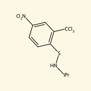 CC(C)NSc1ccc([N+](=O)[O-])cc1C(Cl)(Cl)Cl